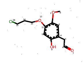 COc1cc(CC=O)c(O)cc1OCCCCl